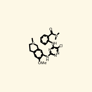 COc1cc2c(cc1Nc1nnc(Cl)c(Nc3ccccc3C(=O)N(C)C)n1)CN(C)CC2